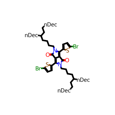 CCCCCCCCCCCCC(CCCCCCCCCC)CCCCN1C(=O)C2=C(c3ccc(Br)s3)N(CCCCC(CCCCCCCCCC)CCCCCCCCCCCC)C(=O)C2=C1c1ccc(Br)s1